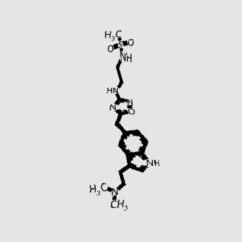 CN(C)CCc1c[nH]c2ccc(Cc3nc(NCCNS(C)(=O)=O)no3)cc12